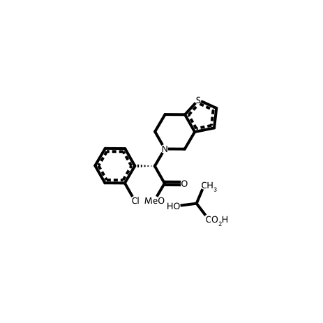 CC(O)C(=O)O.COC(=O)[C@H](c1ccccc1Cl)N1CCc2sccc2C1